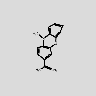 C=C(C)c1ccc2c(c1)Sc1ccccc1N2C